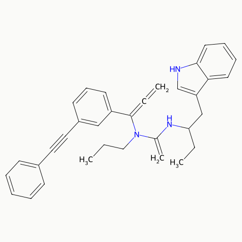 C=C=C(c1cccc(C#Cc2ccccc2)c1)N(CCC)C(=C)NC(CC)Cc1c[nH]c2ccccc12